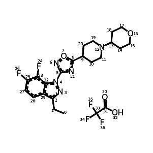 CCc1nn(-c2noc(C3CCN(C4CCOCC4)CC3)n2)c2c(F)c(F)ccc12.O=C(O)C(F)(F)F